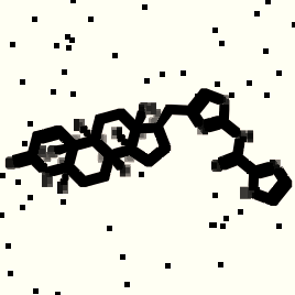 C[C@]12C=CC(=O)N[C@@H]1CC[C@@H]1[C@@H]2CC[C@]2(C)[C@@H](Cc3csc(NC(=O)c4ncc[nH]4)n3)CC[C@@H]12